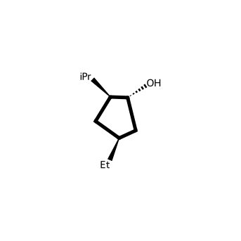 CC[C@@H]1C[C@@H](O)[C@H](C(C)C)C1